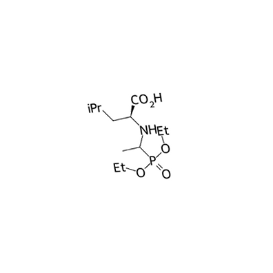 CCOP(=O)(OCC)C(C)N[C@@H](CC(C)C)C(=O)O